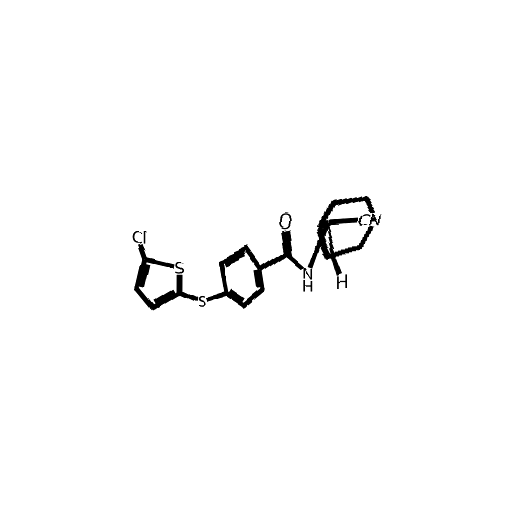 O=C(N[C@H]1CN2CCC1CC2)c1ccc(Sc2ccc(Cl)s2)cc1